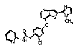 Cn1ccnc1-c1cc2nccc(Oc3ccc(CC(=O)Nc4ccccn4)c(Cl)c3)c2s1